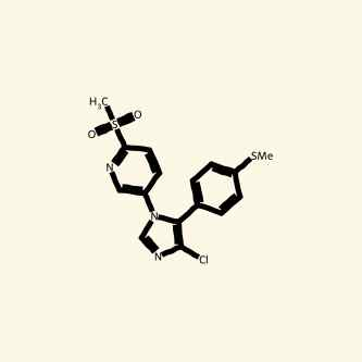 CSc1ccc(-c2c(Cl)ncn2-c2ccc(S(C)(=O)=O)nc2)cc1